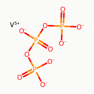 O=P([O-])([O-])OP(=O)([O-])OP(=O)([O-])[O-].[V+5]